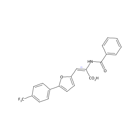 O=C(O)/C(=C\c1ccc(-c2ccc(C(F)(F)F)cc2)o1)NC(=O)c1ccccc1